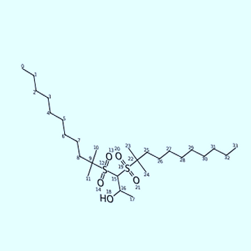 CCCCCCCCCC(C)(C)S(=O)(=O)C(C(C)O)S(=O)(=O)C(C)(C)CCCCCCCCC